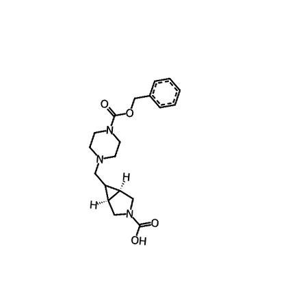 O=C(O)N1C[C@@H]2C(CN3CCN(C(=O)OCc4ccccc4)CC3)[C@@H]2C1